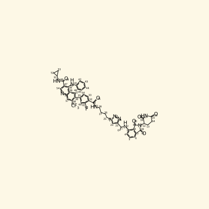 CC(Nc1cccc2c1C(=O)N(C1CCC(=O)NC1=O)C2=O)c1cn(CCCCNC(=O)c2ccc(-c3cc4c(Nc5ccccc5)c(C(=O)NC5CC5)cnc4cc3C(F)(F)F)cc2F)nn1